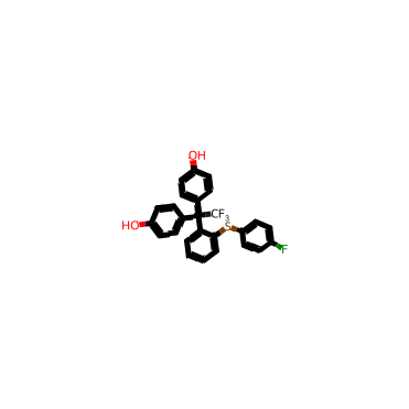 Oc1ccc(C(c2ccc(O)cc2)(c2ccccc2Sc2ccc(F)cc2)C(F)(F)F)cc1